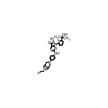 CC(C)n1c(=O)c2cnc(Nc3ccc(N4CC5CC(CN(CCF)C5)C4)cc3)nc2n1-c1cccc(C(C)(C)O)n1